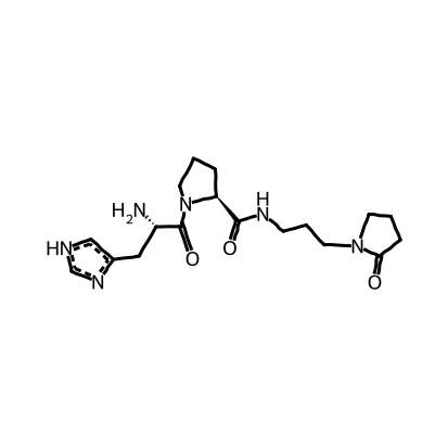 N[C@@H](Cc1c[nH]cn1)C(=O)N1CCC[C@H]1C(=O)NCCCN1CCCC1=O